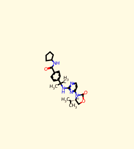 CC(C)[C@H]1COC(=O)N1c1ccnc(NC(C)(C)c2ccc(C(=O)NC3CCCC3)cc2)n1